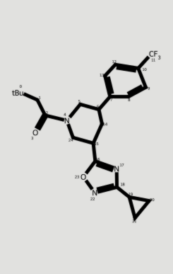 CC(C)(C)CC(=O)N1CC(c2ccc(C(F)(F)F)cc2)CC(c2nc(C3CC3)no2)C1